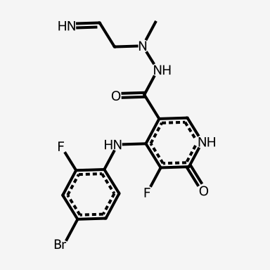 CN(CC=N)NC(=O)c1c[nH]c(=O)c(F)c1Nc1ccc(Br)cc1F